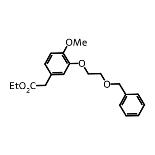 CCOC(=O)Cc1ccc(OC)c(OCCOCc2ccccc2)c1